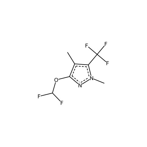 Cc1c(OC(F)F)nn(C)c1C(F)(F)F